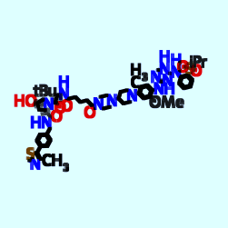 COc1cc(N2CCC(N3CCN(C(=O)CCCC(=O)N[C@H](C(=O)N4C[C@H](O)C[C@H]4C(=O)NCc4ccc(-c5scnc5C)cc4)C(C)(C)C)CC3)CC2)c(C)cc1NC1=NC(Nc2ccccc2S(=O)(=O)C(C)C)NC=N1